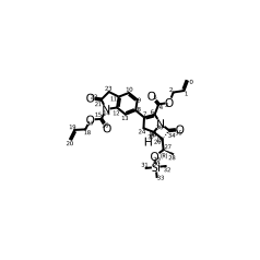 C=CCOC(=O)C1=C(c2ccc3c(c2)N(C(=O)OCC=C)C(=O)C3)C[C@@H]2[C@@H]([C@@H](C)O[Si](C)(C)C)C(=O)N12